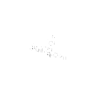 COc1ccc(-n2ncc3c(NC(=O)c4ccc([N+](=O)[O-])s4)nc(-c4cnc(C#N)c(F)c4)nc32)cc1